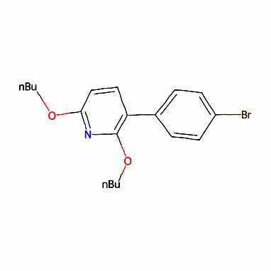 CCCCOc1ccc(-c2ccc(Br)cc2)c(OCCCC)n1